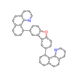 c1cnc2c(c1)ccc1cccc(-c3ccc4oc5ccc(-c6cccc7ccc8cccnc8c67)cc5c4c3)c12